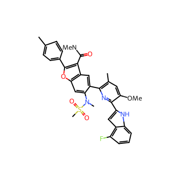 CNC(=O)c1c(-c2ccc(C)cc2)oc2cc(N(C)S(C)(=O)=O)c(-c3nc(-c4cc5c(F)cccc5[nH]4)c(OC)cc3C)cc12